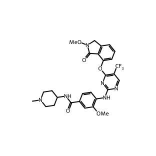 COc1cc(C(=O)NC2CCN(C)CC2)ccc1Nc1ncc(C(F)(F)F)c(Oc2cccc3c2C(=O)N(OC)C3)n1